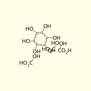 O=C(O)O.O=C(O)O.O=C(O)O.Oc1c(O)c(O)c(O)c(O)c1O